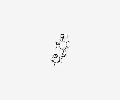 Oc1ccc(SC2C=COO2)cc1